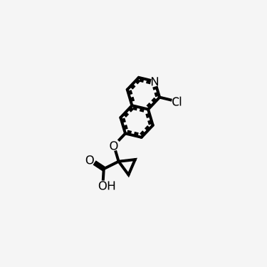 O=C(O)C1(Oc2ccc3c(Cl)nccc3c2)CC1